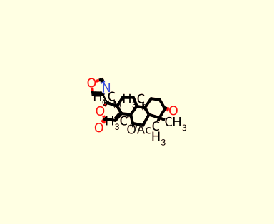 CC(=O)O[C@@H]1CC2C(C)(C)C(=O)CC[C@]2(C)C2CC[C@]3(C)C(=CC(=O)O[C@H]3c3cocn3)[C@@]21C